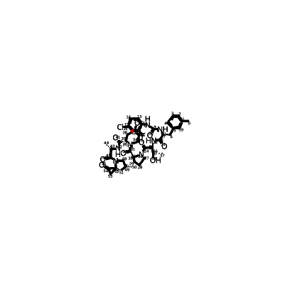 Cc1cccc(C[C@H](NC(=O)Nc2ccc(Cl)cc2F)C(=O)N[C@H](C(=O)N2CCC[C@H]2C(=O)N2CC[S+]([O-])C[C@H]2C(=O)N[C@@H](C)C(=O)N2C[C@H](C)C[C@@]23CC3=O)[C@H](C)O)c1